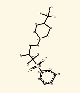 CC(CCN1CCC(C(F)(F)F)CC1)C(C)(C)S(=O)(=O)c1ccccc1